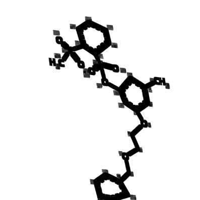 Cc1cc(OCCOCc2ccccc2)cc(OS(=O)(=O)c2ccccc2S(C)(=O)=O)c1